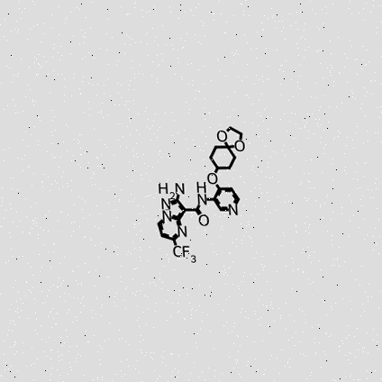 Nc1nn2ccc(C(F)(F)F)nc2c1C(=O)Nc1cnccc1OC1CCC2(CC1)OCCO2